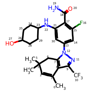 CC1=CC(C)(C)Cc2c1c(C(F)(F)F)nn2-c1cc(F)c(C(N)=O)c(NC2CCC(O)CC2)c1